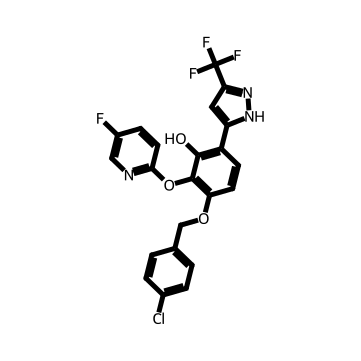 Oc1c(-c2cc(C(F)(F)F)n[nH]2)ccc(OCc2ccc(Cl)cc2)c1Oc1ccc(F)cn1